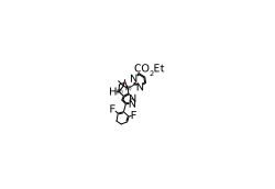 CCOC(=O)c1ccnc([C@@]23CC[C@@H](c4cc(C5=C(F)CCC=C5F)nnc42)C3(C)C)n1